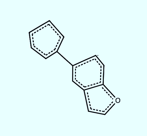 [c]1cc2occc2cc1-c1ccccc1